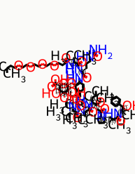 CC[C@H](C)[C@@H]([C@@H](CC(=O)N1CCC[C@H]1C[C@@H](C)C(=O)N[C@H](C)[C@@H](O)c1ccccc1)OC)N(C)C(=O)[C@@H](NC(=O)[C@H](C(C)C)N(C)C(=O)OCc1ccc(NC(=O)[C@H](CCCNC(N)=O)NC(=O)[C@@H](NC(=O)CCOCCOCCOCCOCCC(C)C)C(C)C)c(O[C@@H]2O[C@H](C(=O)O)[C@@H](O)[C@H](O)[C@H]2O)c1)C(C)C